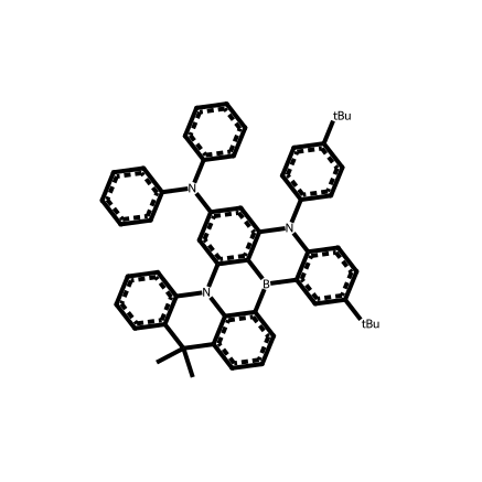 CC(C)(C)c1ccc(N2c3ccc(C(C)(C)C)cc3B3c4cccc5c4N(c4ccccc4C5(C)C)c4cc(N(c5ccccc5)c5ccccc5)cc2c43)cc1